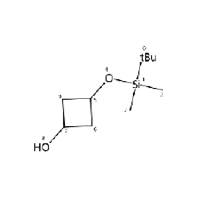 CC(C)(C)[Si](C)(C)OC1CC(O)C1